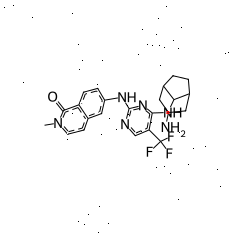 Cn1ccc2cc(Nc3ncc(C(F)(F)F)c(NC4C5CCC4CC(N)C5)n3)ccc2c1=O